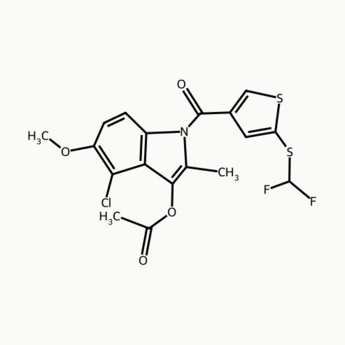 COc1ccc2c(c1Cl)c(OC(C)=O)c(C)n2C(=O)c1csc(SC(F)F)c1